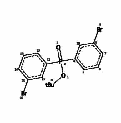 CC(C)(C)OP(=O)(c1cccc(Br)c1)c1cccc(Br)c1